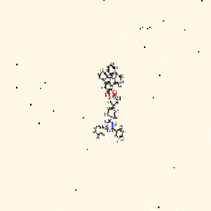 c1ccc(-c2nc(-c3ccccc3)nc(-c3ccc(-c4ccc5c(c4)Oc4ccc6c(c4O5)-c4ccccc4C6(c4ccccc4)c4ccccc4)cc3)n2)cc1